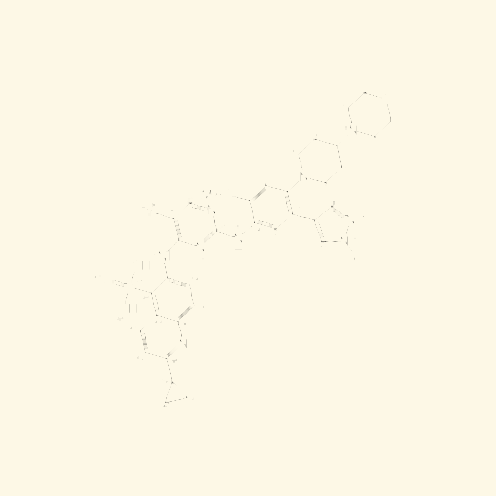 COc1cc(N2CCC(N3CCOCC3)CC2)c(-c2cnn(C)c2)cc1Nc1ncc(Br)c(Nc2ccc3nc(C4CC4)ccc3c2P(C)(C)=O)n1